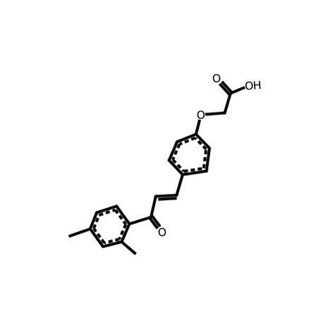 Cc1ccc(C(=O)/C=C/c2ccc(OCC(=O)O)cc2)c(C)c1